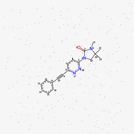 CN1C(=O)N(c2ccc(C#Cc3ccccc3)nn2)CC1(C)C